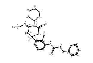 C[C@@]1(c2cccc(NC(=O)OCc3ccccc3)c2Cl)CC(=O)N(C2CCOCC2)C(=NC(=O)O)N1